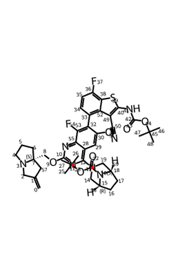 C=C1CN2CCC[C@@]2(COc2nc(N3C[C@H]4CC[C@@H](C3)N4C(=O)OC(C)(C)C)c3cc(Cl)c(-c4ccc(F)c5sc(NC(=O)OC(C)(C)C)c(C#N)c45)c(F)c3n2)C1